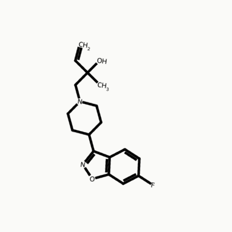 C=CC(C)(O)CN1CCC(c2noc3cc(F)ccc23)CC1